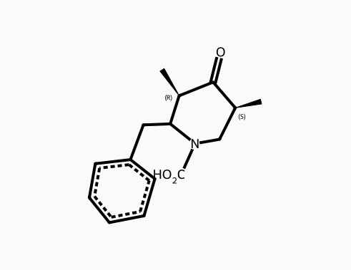 C[C@H]1CN(C(=O)O)C(Cc2ccccc2)[C@@H](C)C1=O